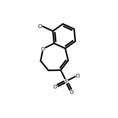 O=S(=O)(Cl)C1=Cc2cccc(Cl)c2OCC1